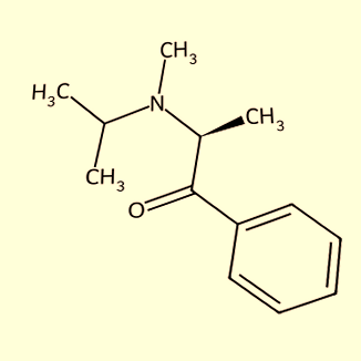 CC(C)N(C)[C@@H](C)C(=O)c1ccccc1